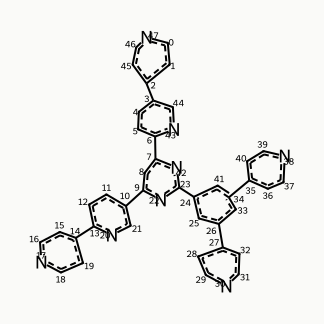 c1cc(-c2ccc(-c3cc(-c4ccc(-c5ccncc5)nc4)nc(-c4cc(-c5ccncc5)cc(-c5ccncc5)c4)n3)nc2)ccn1